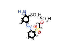 Cc1cc(N)c(S(=O)(=O)O)cc1N=Nc1ccccc1S(=O)(=O)CCOS(=O)(=O)O